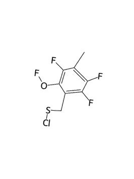 Cc1c(F)c(F)c(CSCl)c(OF)c1F